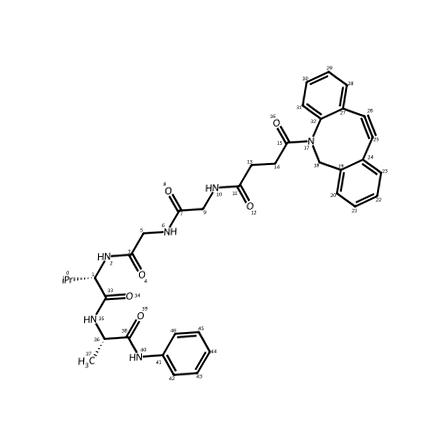 CC(C)[C@H](NC(=O)CNC(=O)CNC(=O)CCC(=O)N1Cc2ccccc2C#Cc2ccccc21)C(=O)N[C@@H](C)C(=O)Nc1ccccc1